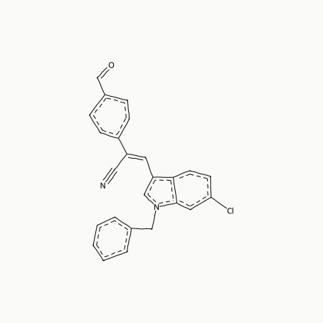 N#C/C(=C\c1cn(Cc2ccccc2)c2cc(Cl)ccc12)c1ccc(C=O)cc1